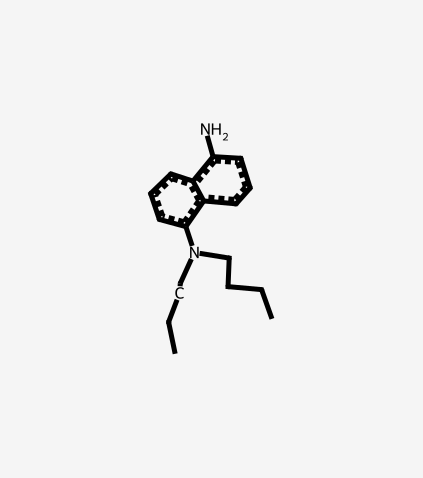 CCCCN(CCCC)c1cccc2c(N)cccc12